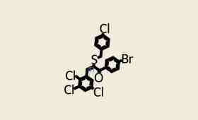 O=C(/C(=C\c1cc(Cl)cc(Cl)c1Cl)SCc1ccc(Cl)cc1)c1ccc(Br)cc1